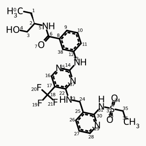 CC[C@H](CO)NC(=O)c1cccc(Nc2ncc(C(F)(F)F)c(NCc3cccnc3NS(=O)(=O)CC)n2)c1